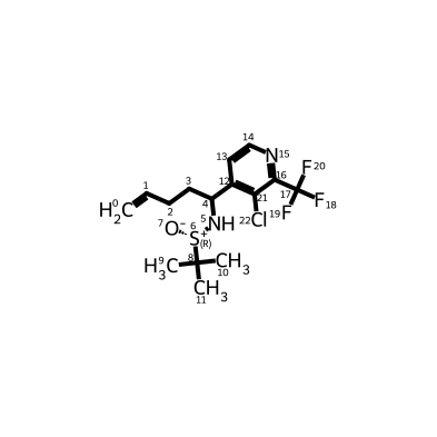 C=CCCC(N[S@@+]([O-])C(C)(C)C)c1ccnc(C(F)(F)F)c1Cl